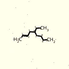 [CH2]C=CCC(CC)CCC[CH2]